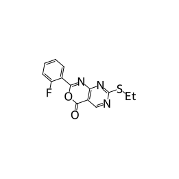 CCSc1ncc2c(=O)oc(-c3ccccc3F)nc2n1